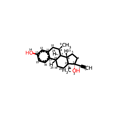 C#C[C@]1(O)CC[C@H]2[C@@H]3[C@H](C)Cc4cc(O)ccc4[C@H]3CC[C@@]21C